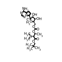 C[C@@H](OC(=O)OC[C@H]1O[C@@](C)(c2ccc3c(N)ncnn23)[C@H](O)[C@@H]1O)[C@@H](C(=O)OCC(C)(C)C)N(C)C